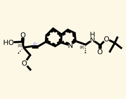 COC[C@](C)(/C=C/c1ccc2ccc([C@@H](C)NC(=O)OC(C)(C)C)nc2c1)C(=O)O